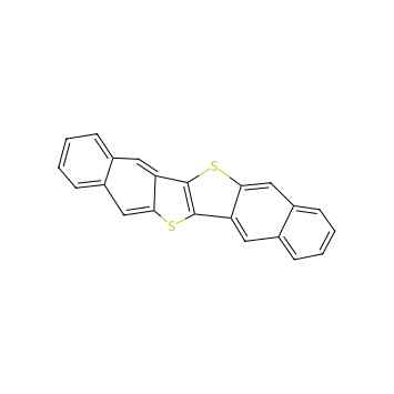 c1ccc2cc3c(cc2c1)sc1c2cc4ccccc4cc2sc31